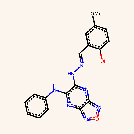 COc1ccc(O)c(C=NNc2nc3nonc3nc2Nc2ccccc2)c1